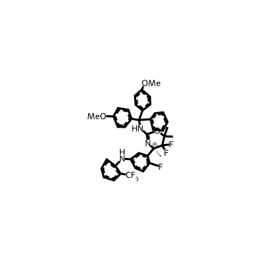 COc1ccc(C(NC2=N[C@](C)(c3cc(Nc4ccccc4C(F)(F)F)ccc3F)C(F)(F)C(C)(C)O2)(c2ccccc2)c2ccc(OC)cc2)cc1